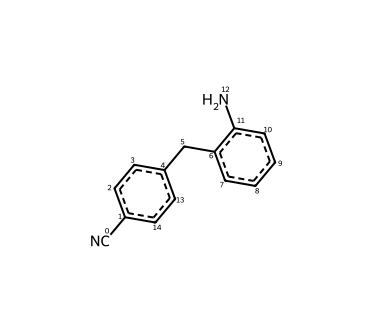 N#Cc1ccc(Cc2ccccc2N)cc1